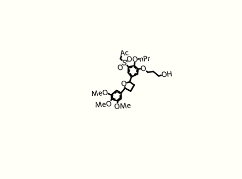 CCCOc1c(OCCCO)cc(C2CCC(c3cc(OC)c(OC)c(OC)c3)O2)cc1S(=O)(=O)CC(C)=O